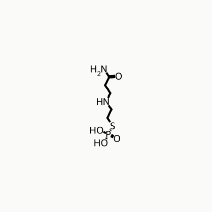 NC(=O)CCNCCSP(=O)(O)O